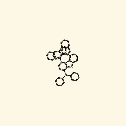 c1ccc(N(c2ccccc2)c2ccc(N(c3ccccc3)c3ccccc3)c3c2sc2cccc(-n4c5ccccc5c5ccccc54)c23)cc1